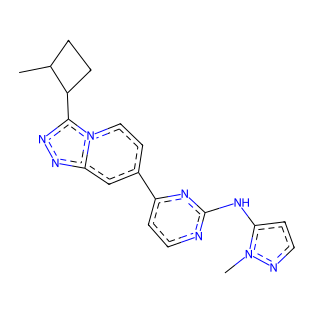 CC1CCC1c1nnc2cc(-c3ccnc(Nc4ccnn4C)n3)ccn12